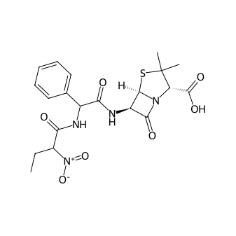 CCC(C(=O)NC(C(=O)N[C@@H]1C(=O)N2[C@@H]1SC(C)(C)[C@@H]2C(=O)O)c1ccccc1)[N+](=O)[O-]